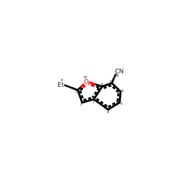 CCc1cc2cccc(C#N)c2o1